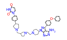 Nc1ncnc2c1c(-c1ccc(Oc3ccccc3)cc1)nn2C1CCN(CCN2CCC(CN3CCC(c4ccc(-n5ccc(=O)[nH]c5=O)cc4)CC3)C2)CC1